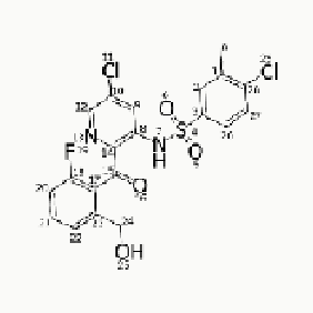 Cc1cc(S(=O)(=O)Nc2cc(Cl)cnc2C(=O)c2c(F)cccc2CO)ccc1Cl